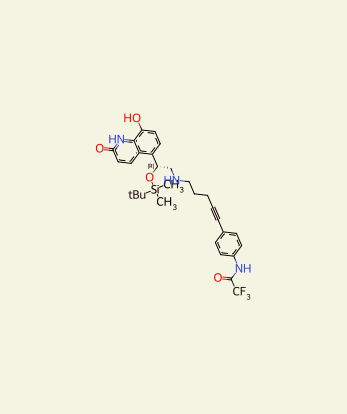 CC(C)(C)[Si](C)(C)O[C@@H](CNCCCC#Cc1ccc(NC(=O)C(F)(F)F)cc1)c1ccc(O)c2[nH]c(=O)ccc12